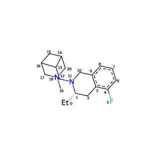 CC[C@H]1Cc2c(F)cccc2CN1CC1C2CC1CN(C)C2